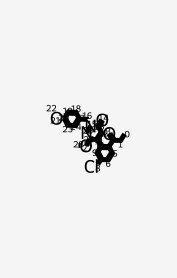 CCC(=O)c1ccc(Cl)cc1-c1cc(=O)n(Cc2ccc(OC)cc2)nc1OC